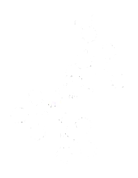 O=C(OC(c1ccccc1)c1ccccc1)C1=C(COc2ccc(F)c(F)c2)CS[C@@H]2C(NC(=O)/C(=N/OC(c3ccccc3)(c3ccccc3)c3ccccc3)c3csc(NC(c4ccccc4)(c4ccccc4)c4ccccc4)n3)C(=O)N12